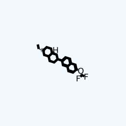 CC[C@@H]1CC[C@@H]2CC(c3ccc4cc(OC(F)F)ccc4c3)CCC2C1